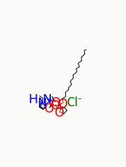 CCCCCCCCCCCCCCCCCCOCC1(COC(=O)C(N)(C(C)=O)c2cccc[n+]2CC)CCCO1.[Cl-]